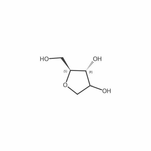 OC[C@@H]1OC[C](O)[C@H]1O